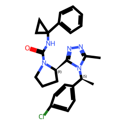 Cc1nnc([C@H]2CCCN2C(=O)NC2(c3ccccc3)CC2)n1[C@@H](C)c1ccc(Cl)cc1